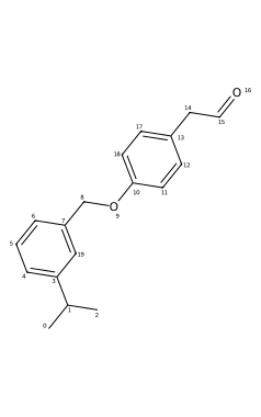 CC(C)c1cccc(COc2ccc(CC=O)cc2)c1